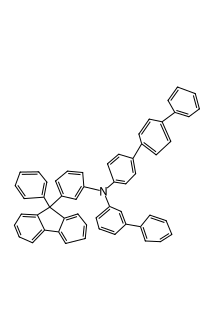 c1ccc(-c2ccc(-c3ccc(N(c4cccc(-c5ccccc5)c4)c4cccc(C5(c6ccccc6)c6ccccc6-c6ccccc65)c4)cc3)cc2)cc1